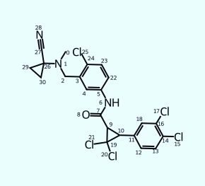 CN(Cc1cc(NC(=O)C2C(c3ccc(Cl)c(Cl)c3)C2(Cl)Cl)ccc1Cl)C1(C#N)CC1